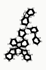 c1ccc(-c2cccc(N(c3cccc(-c4cccc5c4-c4ccccc4C54c5ccc6ccccc6c5Oc5c4ccc4ccccc54)c3)c3ccc4oc5ccccc5c4c3)c2)cc1